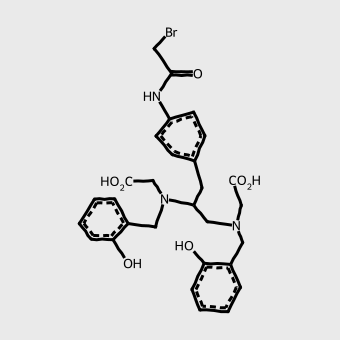 O=C(O)CN(Cc1ccccc1O)CC(Cc1ccc(NC(=O)CBr)cc1)N(CC(=O)O)Cc1ccccc1O